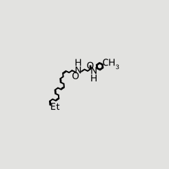 CC/C=C\C/C=C\C/C=C\C/C=C\C/C=C\C/C=C\CCC(=O)NCCCC(=O)Nc1ccc(C)cc1